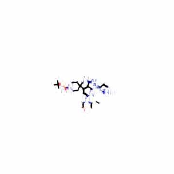 CC[C@@H]1COCCN1c1cc(C2(C#N)CCN(C(=O)OC(C)(C)C)CC2)c2cnn(-c3cc[nH]n3)c2n1